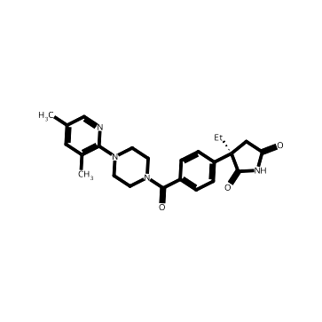 CC[C@]1(c2ccc(C(=O)N3CCN(c4ncc(C)cc4C)CC3)cc2)CC(=O)NC1=O